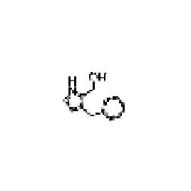 OCc1[nH]ccc1Cc1ccccc1